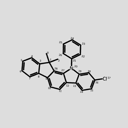 CC1(C)c2ccccc2-c2ccc3c4ccc(Cl)cc4n(-c4ccccc4)c3c21